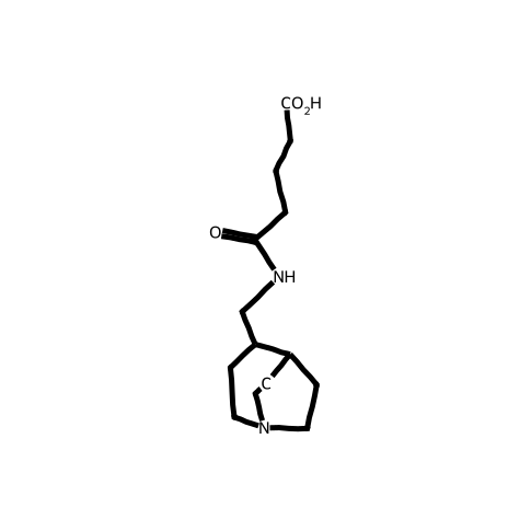 O=C(O)CCCC(=O)NCC1CCN2CCC1CC2